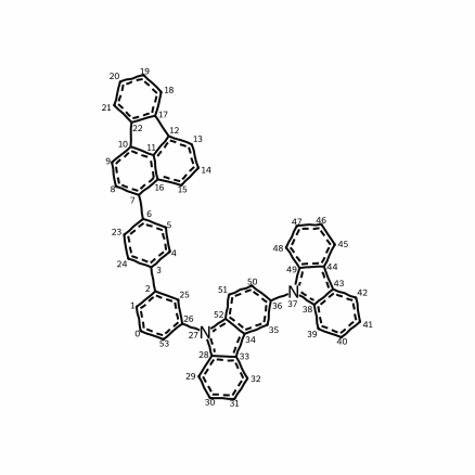 c1cc(-c2ccc(-c3ccc4c5c(cccc35)-c3ccccc3-4)cc2)cc(-n2c3ccccc3c3cc(-n4c5ccccc5c5ccccc54)ccc32)c1